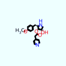 COc1ccc(C[C@H]2NC[C@H](O)[C@H]2OC(=O)Cc2ccncc2)cc1